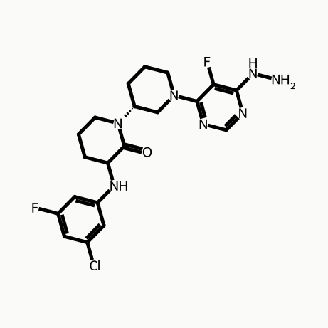 NNc1ncnc(N2CCC[C@@H](N3CCCC(Nc4cc(F)cc(Cl)c4)C3=O)C2)c1F